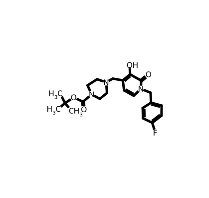 CC(C)(C)OC(=O)N1CCN(Cc2ccn(Cc3ccc(F)cc3)c(=O)c2O)CC1